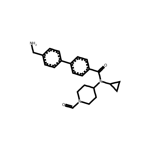 NCc1ccc(-c2ccc(C(=O)N(C3CC3)C3CCN(C=O)CC3)cc2)cc1